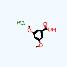 COc1cc(OC)cc(C(=O)O)c1.Cl